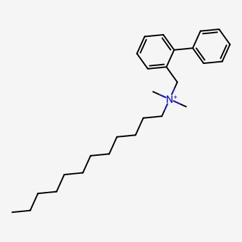 CCCCCCCCCCCC[N+](C)(C)Cc1ccccc1-c1ccccc1